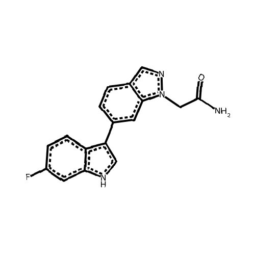 NC(=O)Cn1ncc2ccc(-c3c[nH]c4cc(F)ccc34)cc21